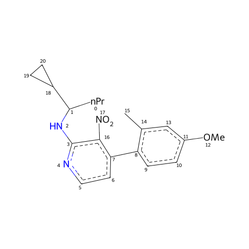 CCCC(Nc1nccc(-c2ccc(OC)cc2C)c1[N+](=O)[O-])C1CC1